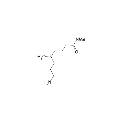 CNC(=O)CCCN(C)CCCN